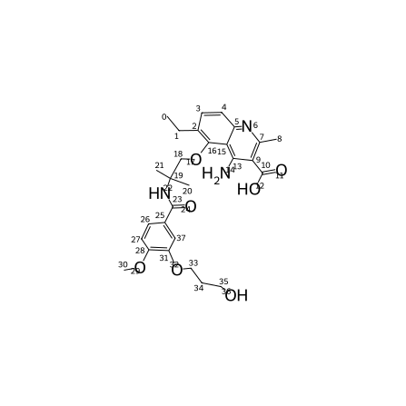 CCc1ccc2nc(C)c(C(=O)O)c(N)c2c1OCC(C)(C)NC(=O)c1ccc(OC)c(OCCCO)c1